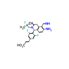 CC(C)(F)CN1CCc2c(ccc(N)c2C=N)[C@H]1c1c(F)cc(/C=C/C(=O)O)cc1F